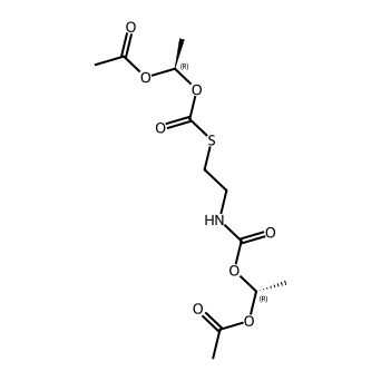 CC(=O)O[C@@H](C)OC(=O)NCCSC(=O)O[C@H](C)OC(C)=O